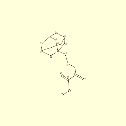 C=C(CCCC12CC3CC(CC(C3)C1)C2)C(=O)OC